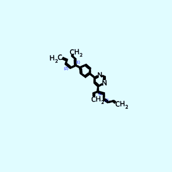 C=C/C=C\C=C(/C=C)c1cc(-c2ccc(C(/C=C\C=C)=C/C=C)cc2)ncn1